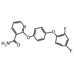 NC(=O)c1cccnc1Oc1ccc(Oc2ccc(F)cc2F)cc1